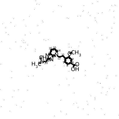 COc1cc(C(=O)O)ccc1CCn1cccc2nc(CN(C)C)nc1-2